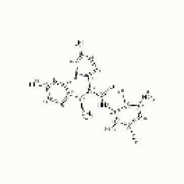 CCc1ccc(N(C(=O)Nc2c(CC)c(Cl)cc([N+](=O)[O-])c2CC)[C@@H](C)c2ccc(Cl)cc2)cc1